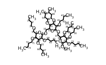 CCCCOCC1O[C@H](OCC2O[C@H](OCC3O[C@H](OC)C(OCCCC)[C@@H](OCCCC)[C@@H]3OCCCC)C(OCCCC)C(OCCCC)[C@@H]2OCCCC)C(OCCCC)[C@@H](OCCCC)[C@@H]1OCCCC